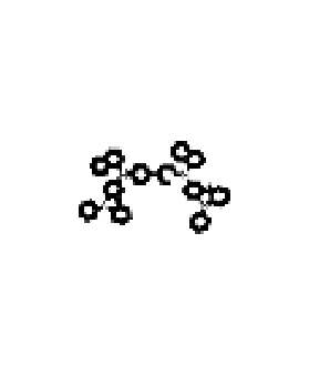 C/C=C(\C=C/CN(c1ccc2c(c1)C1(C)C=CC=CC1N2c1ccccc1)c1cccc2ccccc12)c1ccc(N(c2ccc3c(c2)c2ccccc2n3-c2ccccc2)c2cccc3ccccc23)cc1